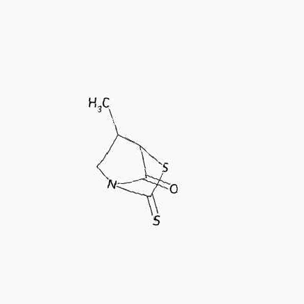 CC1CN2C(=O)C1SC2=S